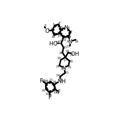 COc1ccc2ncc(N(C)C)c([C@H](O)CCC3(CO)CCN(CCNc4cc(F)cc(F)c4F)CC3)c2c1